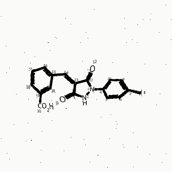 O=C1NN(c2ccc(I)cc2)C(=O)/C1=C/c1cccc(C(=O)O)c1